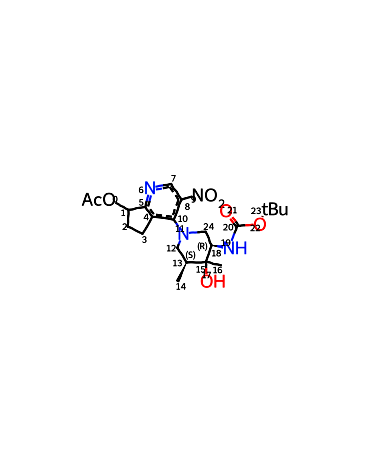 CC(=O)OC1CCc2c1ncc([N+](=O)[O-])c2N1C[C@H](C)C(C)(O)[C@H](NC(=O)OC(C)(C)C)C1